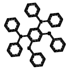 c1ccc(Oc2cc(Oc3ccccc3)c(N(c3ccccc3)c3ccccc3)cc2N(c2ccccc2)c2ccccc2)cc1